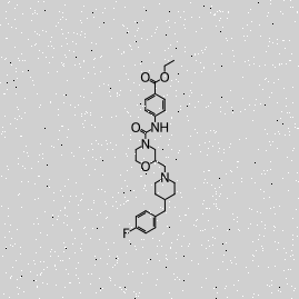 CCOC(=O)c1ccc(NC(=O)N2CCOC(CN3CCC(Cc4ccc(F)cc4)CC3)C2)cc1